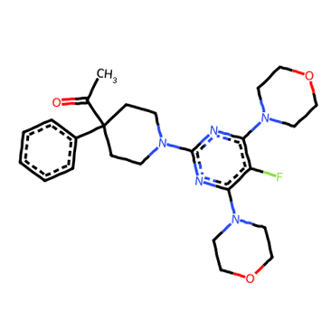 CC(=O)C1(c2ccccc2)CCN(c2nc(N3CCOCC3)c(F)c(N3CCOCC3)n2)CC1